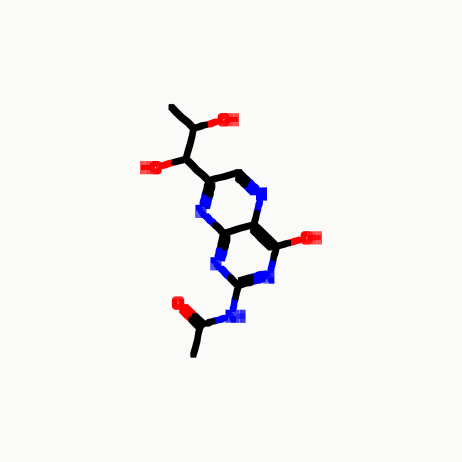 CC(=O)Nc1nc(O)c2ncc(C(O)C(C)O)nc2n1